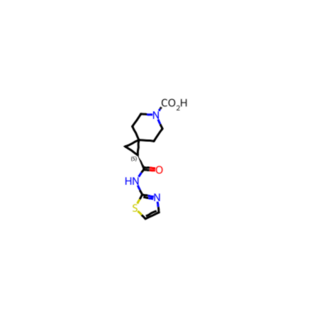 O=C(Nc1nccs1)[C@H]1CC12CCN(C(=O)O)CC2